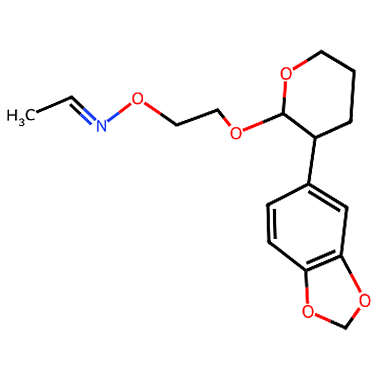 CC=NOCCOC1OCCCC1c1ccc2c(c1)OCO2